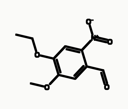 CCOc1cc([N+](=O)[O-])c(C=O)cc1OC